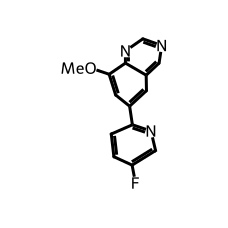 COc1cc(-c2ccc(F)cn2)cc2cncnc12